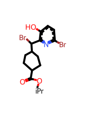 CC(C)OC(=O)C1CCC(C(Br)c2nc(Br)ccc2O)CC1